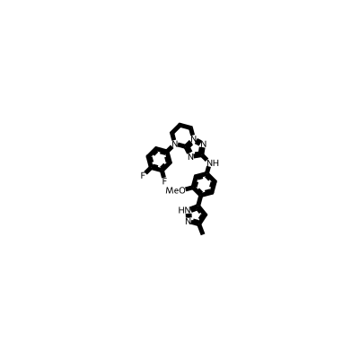 COc1cc(Nc2nc3n(n2)CCCN3c2ccc(F)c(F)c2)ccc1-c1cc(C)n[nH]1